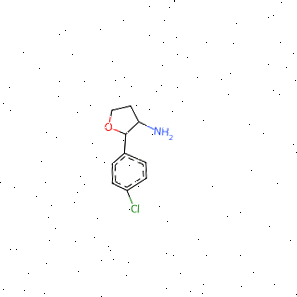 NC1CCOC1c1ccc(Cl)cc1